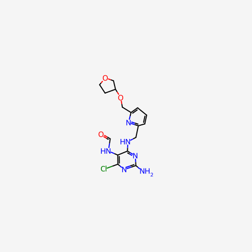 Nc1nc(Cl)c(NC=O)c(NCc2cccc(COC3CCOC3)n2)n1